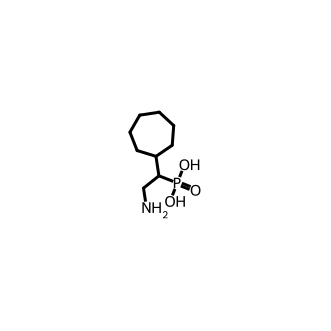 NCC(C1CCCCCC1)P(=O)(O)O